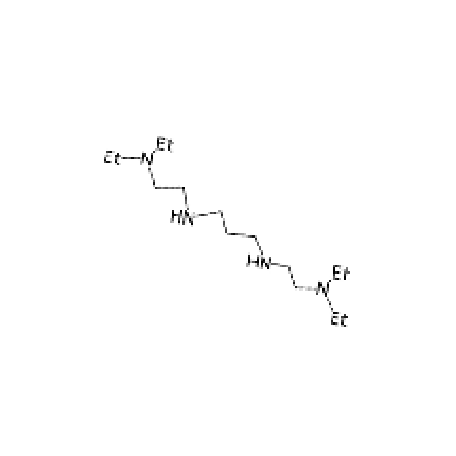 CCN(CC)CCNCCCNCCN(CC)CC